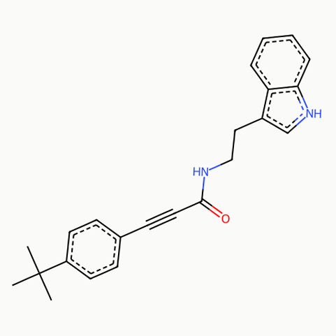 CC(C)(C)c1ccc(C#CC(=O)NCCc2c[nH]c3ccccc23)cc1